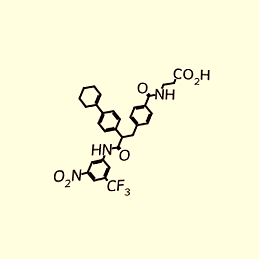 O=C(O)CCNC(=O)c1ccc(CC(C(=O)Nc2cc([N+](=O)[O-])cc(C(F)(F)F)c2)c2ccc(C3=CCCCC3)cc2)cc1